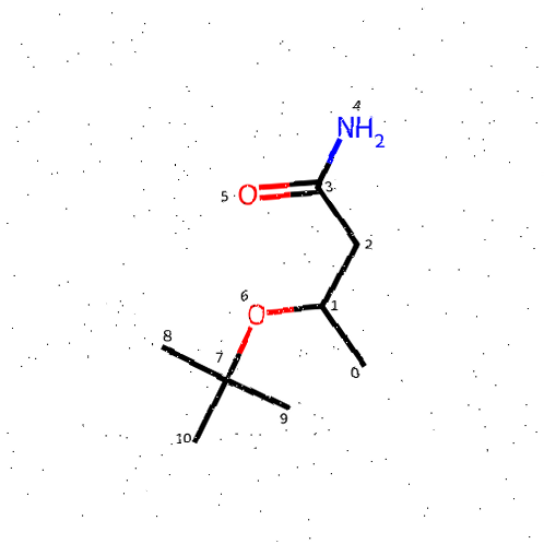 CC(CC(N)=O)OC(C)(C)C